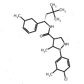 CC1C=CC=C([C@H](CC(C)(C)C)NC(=O)C2CNN(C3=CC(C)C(Cl)C=C3)C2C)C1